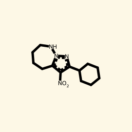 O=[N+]([O-])c1c(C2CCCCC2)nn2c1CCCCN2